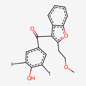 COCCc1oc2ccccc2c1C(=O)c1cc(I)c(O)c(I)c1